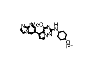 COc1nc(N[C@H]2CC[C@H](OC(C)C)CC2)nn2ccc(-c3cnc4nccn4c3)c12